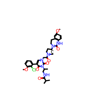 COc1ccc2c(c1)CCN(C1CCN(C(=O)Cn3cc(-c4cccc(OC)c4Cl)c(=O)n(C(C)CNC(=O)C(C)C)c3=O)CC1)C(=O)N2